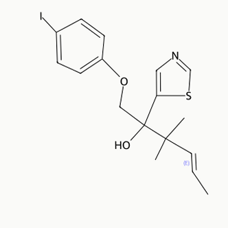 C/C=C/C(C)(C)C(O)(COc1ccc(I)cc1)c1cncs1